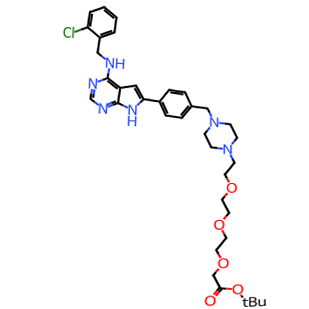 CC(C)(C)OC(=O)COCCOCCOCCN1CCN(Cc2ccc(-c3cc4c(NCc5ccccc5Cl)ncnc4[nH]3)cc2)CC1